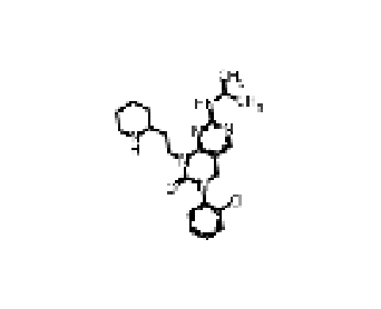 CC(C)Nc1ncc2c(n1)N(CCC1CCCCN1)C(=O)N(c1ccccc1Cl)C2